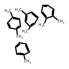 Cc1ccc(C)cc1.Cc1cccc(C)c1.Cc1ccccc1.Cc1ccccc1C